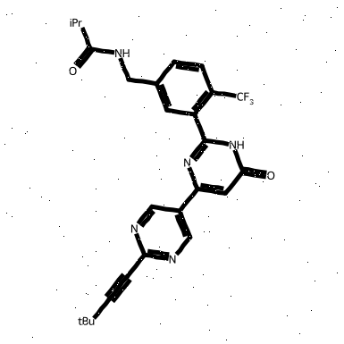 CC(C)C(=O)NCc1ccc(C(F)(F)F)c(-c2nc(-c3cnc(C#CC(C)(C)C)nc3)cc(=O)[nH]2)c1